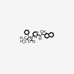 C[C@H](Nc1nccc(N2C(=O)OC(C)(C)[C@H]2c2ccccc2)n1)c1ccc2ccccc2c1